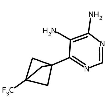 Nc1ncnc(C23CC(C(F)(F)F)(C2)C3)c1N